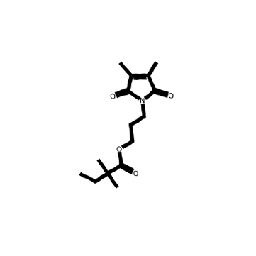 CCC(C)(C)C(=O)OCCCN1C(=O)C(C)=C(C)C1=O